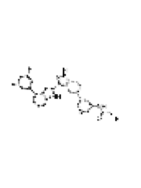 Cc1cc(F)cc(-c2cccc3[nH]c(-c4n[nH]c5ccc(-c6cncc(NC(=O)CC(C)(C)C)c6)cc45)cc23)c1